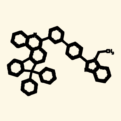 CCn1c(-c2ccc(-c3cccc(-c4nc5ccccc5c5c6c(ccc45)C(c4ccccc4)(c4ccccc4)c4ccccc4-6)c3)cc2)nc2ccccc21